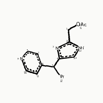 CC(=O)OCc1nc(C(c2ccncc2)C(C)C)c[nH]1